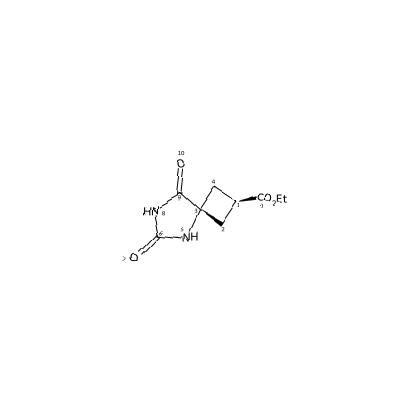 CCOC(=O)[C@H]1C[C@@]2(C1)NC(=O)NC2=O